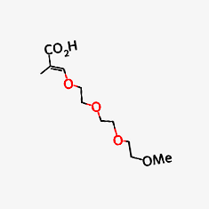 COCCOCCOCCOC=C(C)C(=O)O